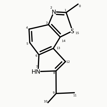 Cc1nc2ccc3[nH]c(C(C)C)cc3c2s1